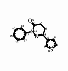 O=C1CCC(c2ccsc2)=NN1c1ccccc1